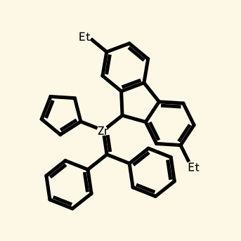 CCc1ccc2c(c1)[CH]([Zr]([C]1=CC=CC1)=[C](c1ccccc1)c1ccccc1)c1cc(CC)ccc1-2